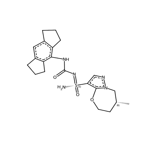 C[C@@H]1CCOc2c([S@@](N)(=O)=NC(=O)Nc3c4c(cc5c3CCC5)CCC4)cnn2C1